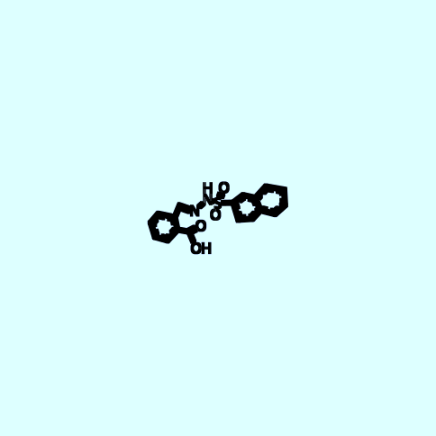 O=C(O)c1ccccc1/C=N/NS(=O)(=O)c1ccc2ccccc2c1